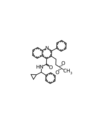 CS(=O)(=O)CCc1c(-c2ccccc2)nc2ccccc2c1C(=O)NC(c1ccccc1)C1CC1